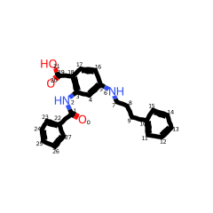 O=C(Nc1cc(NCCCc2ccccc2)ccc1C(=O)O)c1ccccc1